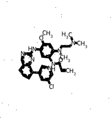 C=CC(=O)Nc1cc(Nc2ncc3cccc(-c4cncc(Cl)c4)c3n2)c(OC)cc1N(C)CCN(C)C